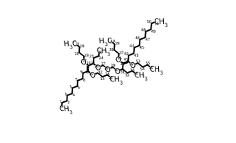 CCCCCCCCCCC(OCCCC)=C(OCCCC)C(CCC)OCOCOC(CCC)C(OCCCC)=C(CCCCCCCCCC)OCCCC